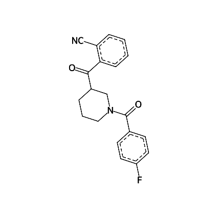 N#Cc1ccccc1C(=O)C1CCCN(C(=O)c2ccc(F)cc2)C1